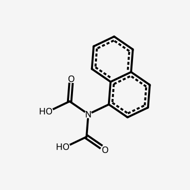 O=C(O)N(C(=O)O)c1cccc2ccccc12